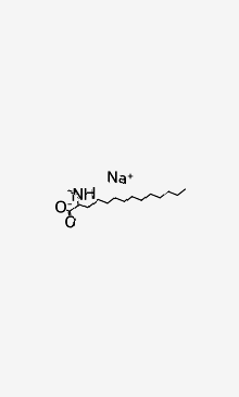 CCCCCCCCCCCCC(NC)C(=O)[O-].[Na+]